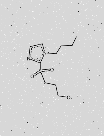 CCCCn1ccnc1S(=O)(=O)CCC[O]